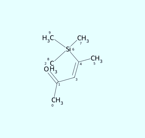 CC(=O)C=C(C)[Si](C)(C)C